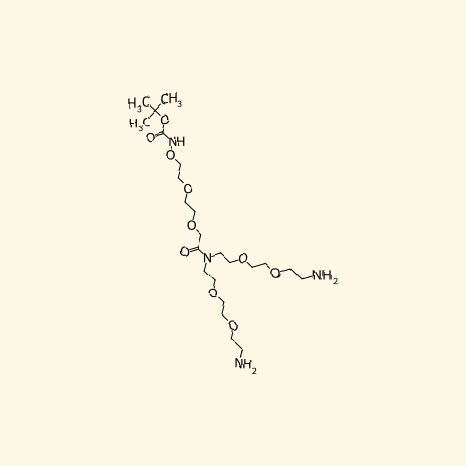 CC(C)(C)OC(=O)NOCCOCCOCC(=O)N(CCOCCOCCN)CCOCCOCCN